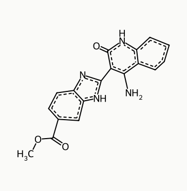 COC(=O)c1ccc2nc(-c3c(N)c4ccccc4[nH]c3=O)[nH]c2c1